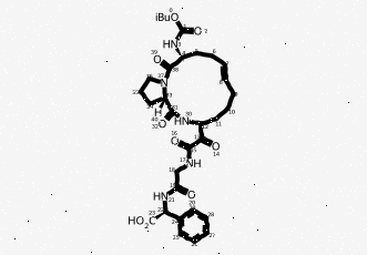 CC(C)COC(=O)N[C@H]1CC/C=C/CCCC(C(=O)C(=O)NCC(=O)N[C@H](C(=O)O)c2ccccc2)NC(=O)[C@@H]2CCCN2C1=O